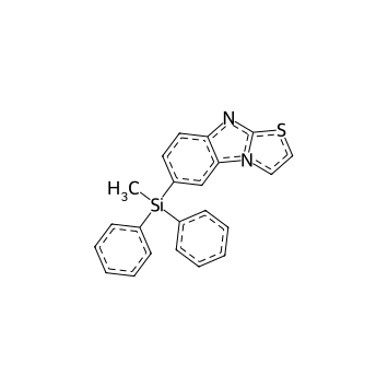 C[Si](c1ccccc1)(c1ccccc1)c1ccc2nc3sccn3c2c1